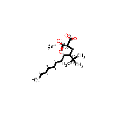 CCCCCCCCC(CC(C(=O)[O-])C(=O)[O-])C(C)(C)C.[Ba+2]